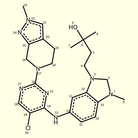 CN1CN(CCC(C)(C)O)c2cc(Nc3nc(N4CCc5cn(C)nc5C4)ncc3Cl)ccc21